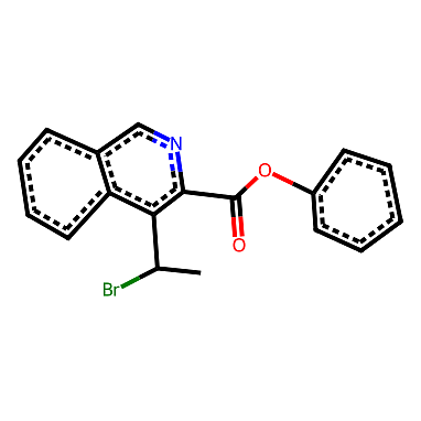 CC(Br)c1c(C(=O)Oc2ccccc2)ncc2ccccc12